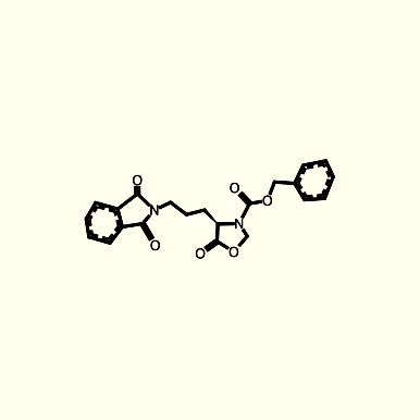 O=C1OCN(C(=O)OCc2ccccc2)[C@@H]1CCCN1C(=O)c2ccccc2C1=O